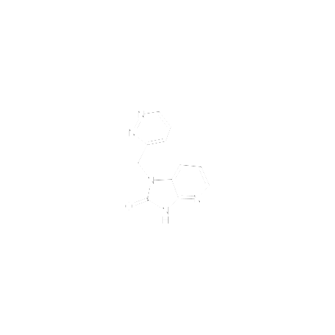 O=c1[nH]c2ncccc2n1Cc1cccnn1